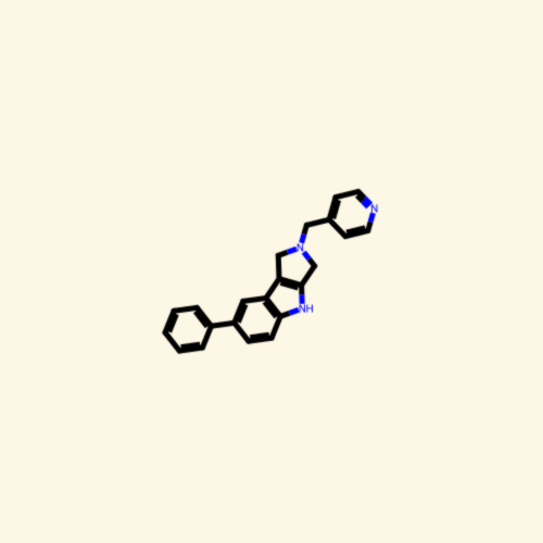 c1ccc(-c2ccc3[nH]c4c(c3c2)CN(Cc2ccncc2)C4)cc1